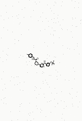 Cc1ccc(CNC(=O)[C@H]2CCCN(c3ccnc(Nc4cccc(OC(F)(F)F)c4)n3)C2)cc1